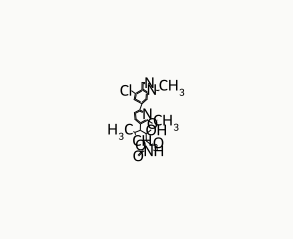 CCn1ncc2c(Cl)cc(-c3ccc(C(C(C)C)C(O)C4OC(=O)NC4=O)c(OC)n3)cc21